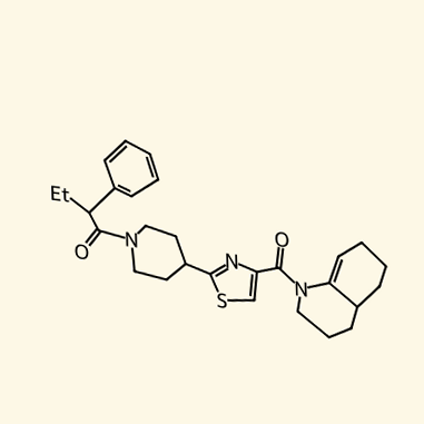 CCC(C(=O)N1CCC(c2nc(C(=O)N3CCCC4CCCC=C43)cs2)CC1)c1ccccc1